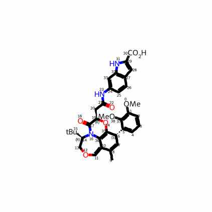 COc1cccc([C@@H]2C=C(C)C3=COC[C@@H](C(C)(C)C)N4C(=O)[C@@H](CC(=O)Nc5ccc6cc(C(=O)O)[nH]c6c5)OC2=C34)c1OC